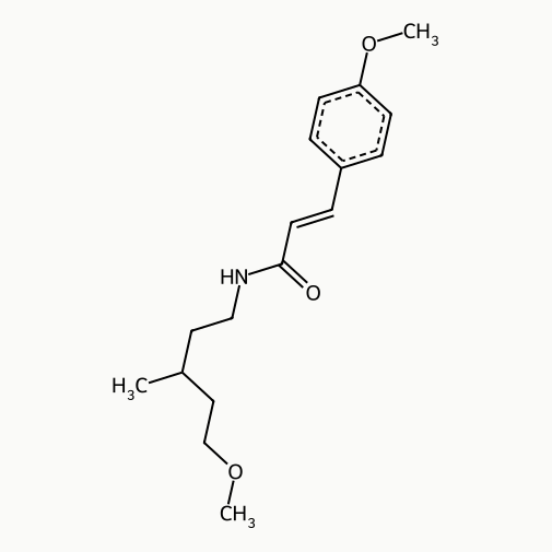 COCCC(C)CCNC(=O)C=Cc1ccc(OC)cc1